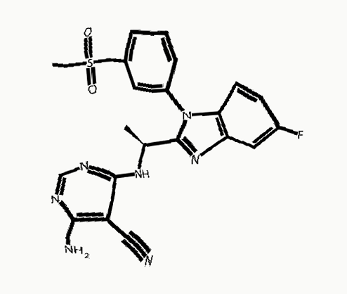 C[C@H](Nc1ncnc(N)c1C#N)c1nc2cc(F)ccc2n1-c1cccc(S(C)(=O)=O)c1